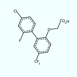 O=C(O)COc1ccc(C(F)(F)F)cc1-c1ccc(Cl)cc1F